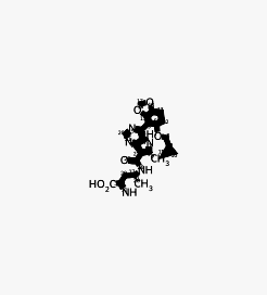 Cc1[nH]c2c(-c3c(OCC4CC4)ccc4c3OCO4)ncnc2c1C(=O)N[C@H](C)CC(=N)C(=O)O